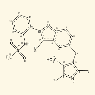 Cc1nc(C)n(Cc2ccc3oc(-c4ccccc4NS(=O)(=O)C(F)(F)F)c(Br)c3c2)c1C(=O)O